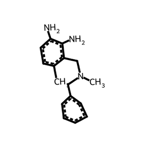 Cc1ccc(N)c(N)c1CN(C)Cc1ccccc1